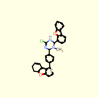 CN1C(c2ccc(-c3cccc4oc5c(c34)C=CCC5)cc2)N=C(Cl)NC1c1cccc2c1oc1ccccc12